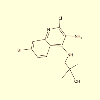 CC(C)(O)CNc1c(N)c(Cl)nc2cc(Br)ccc12